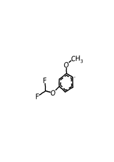 COc1[c]ccc(OC(F)F)c1